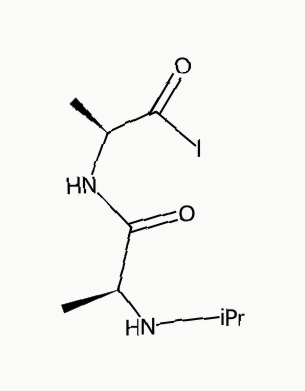 CC(C)N[C@@H](C)C(=O)N[C@@H](C)C(=O)I